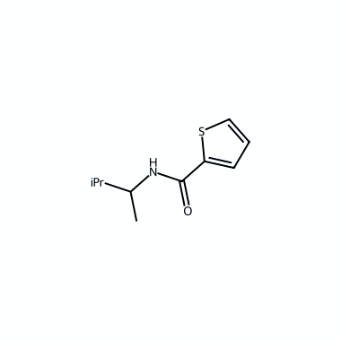 CC(C)C(C)NC(=O)c1cccs1